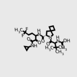 CC(F)(F)CCC(NC(=O)[C@@H]1CC2(CCC2)CN1C(=O)C(NC(=O)O)C(C)(C)C)C(=O)C(=O)NC1CC1